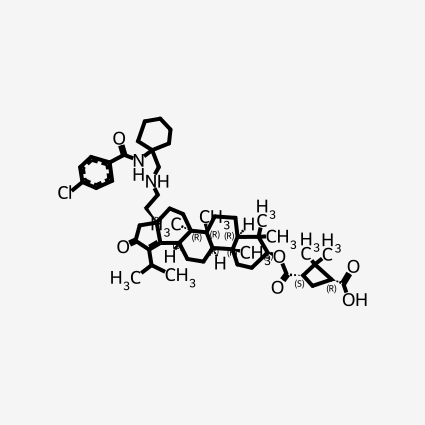 CC(C)C1=C2[C@H]3CC[C@@H]4[C@@]5(C)CC[C@H](OC(=O)[C@H]6C[C@@H](C(=O)O)C6(C)C)C(C)(C)[C@@H]5CC[C@@]4(C)[C@]3(C)CC[C@@]2(CCNCC2(NC(=O)c3ccc(Cl)cc3)CCCCC2)CC1=O